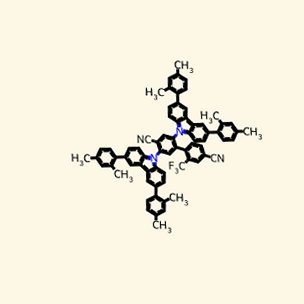 Cc1ccc(-c2ccc3c(c2)c2cc(-c4ccc(C)cc4C)ccc2n3-c2cc(-c3ccc(C#N)cc3C(F)(F)F)c(-n3c4ccc(-c5ccc(C)cc5C)cc4c4cc(-c5ccc(C)cc5C)ccc43)cc2C#N)c(C)c1